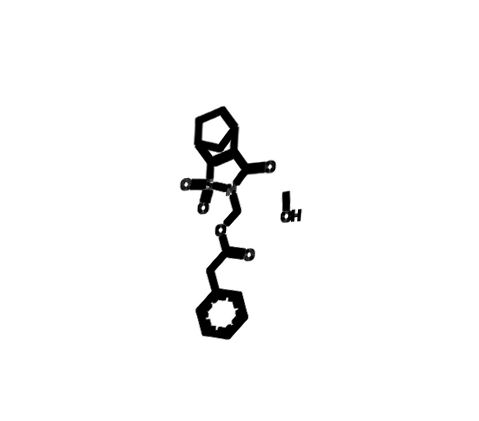 CO.O=C(Cc1ccccc1)OCN1C(=O)C2=C(C3CCC2C3)S1(=O)=O